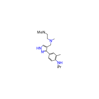 CNCCN(C)Cc1c[nH]nc1-c1ccc(NC(C)C)c(C)c1